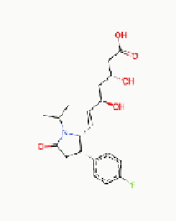 CC(C)N1C(=O)C[C@@H](c2ccc(F)cc2)[C@H]1/C=C/[C@H](O)C[C@@H](O)CC(=O)O